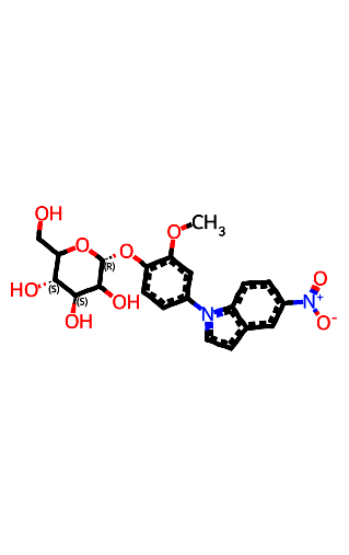 COc1cc(-n2ccc3cc([N+](=O)[O-])ccc32)ccc1O[C@H]1OC(CO)[C@@H](O)[C@H](O)C1O